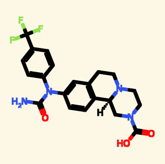 NC(=O)N(c1ccc(C(F)(F)F)cc1)c1ccc2c(c1)CCN1CCN(C(=O)O)C[C@@H]21